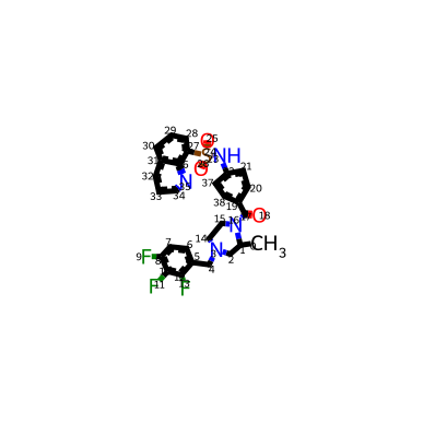 CC1CN(Cc2ccc(F)c(F)c2F)CCN1C(=O)c1ccc(NS(=O)(=O)c2cccc3cccnc23)cc1